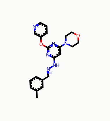 Cc1cccc(/C=N/Nc2cc(N3CCOCC3)nc(Oc3cccnc3)n2)c1